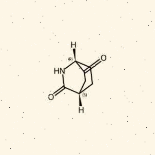 O=C1N[C@@H]2CC[C@H]1CC2=O